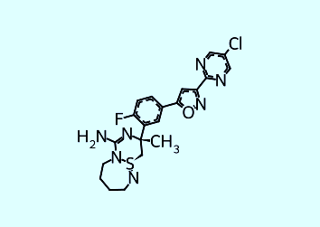 C[C@@]1(c2cc(-c3cc(-c4ncc(Cl)cn4)no3)ccc2F)C[S@]2=NCCCCN2C(N)=N1